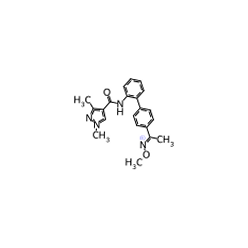 CO/N=C(\C)c1ccc(-c2ccccc2NC(=O)c2cn(C)nc2C)cc1